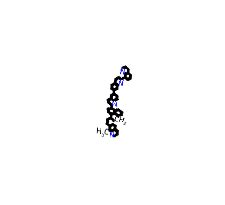 C=CC(/C=C\c1ccc2cccnc2c1C)c1ccc(-c2ccc3cc(-c4ccc5ccc(-c6cccc7cccnc67)nc5c4)ccc3n2)c2ccccc12